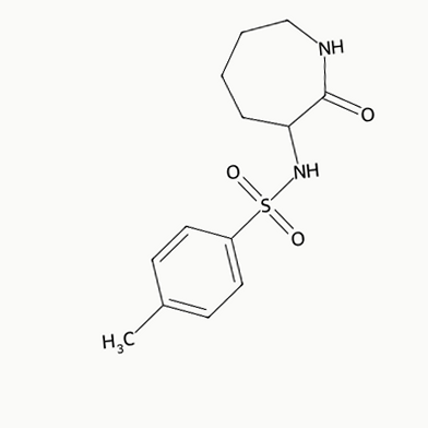 Cc1ccc(S(=O)(=O)NC2CCCCNC2=O)cc1